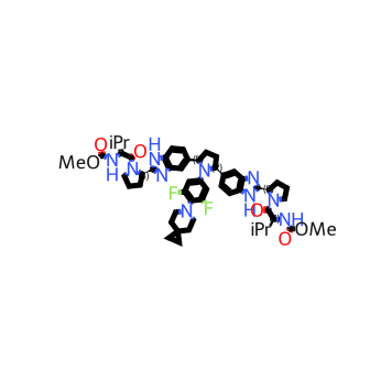 COC(=O)NC(C(=O)N1CCC[C@H]1c1nc2cc([C@H]3CC[C@H](c4ccc5[nH]c([C@@H]6CCCN6C(=O)[C@@H](NC(=O)OC)C(C)C)nc5c4)N3c3cc(F)c(N4CCC5(CC4)CC5)c(F)c3)ccc2[nH]1)C(C)C